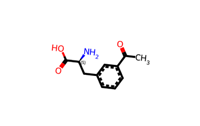 CC(=O)c1cccc(C[C@H](N)C(=O)O)c1